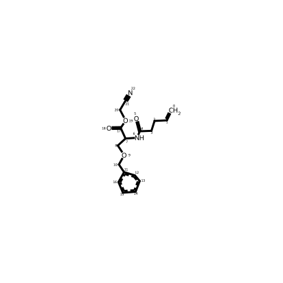 C=CCCC(=O)NC(COCc1ccccc1)C(=O)OCC#N